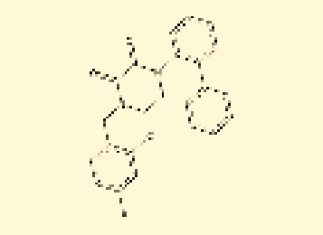 O=C1C(=O)N(c2ccccc2-c2ccccc2)CCN1Cc1ccc(F)cc1Cl